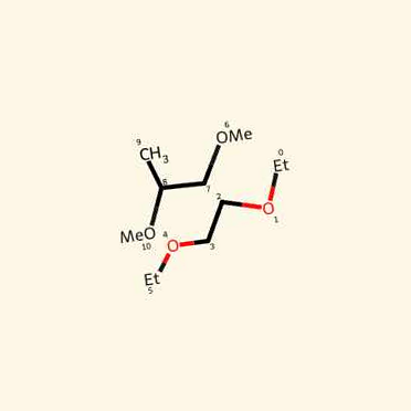 CCOCCOCC.COCC(C)OC